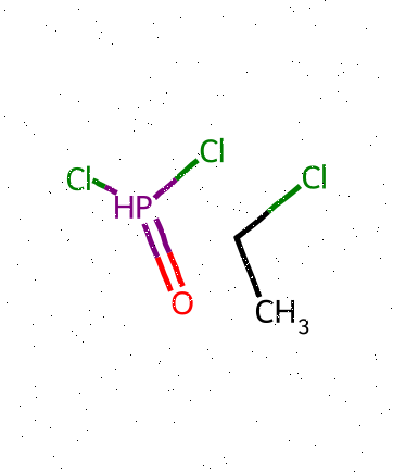 CCCl.O=[PH](Cl)Cl